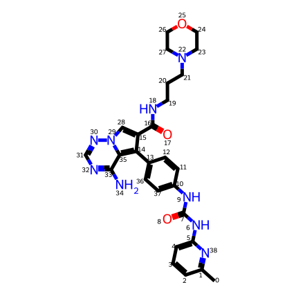 Cc1cccc(NC(=O)Nc2ccc(-c3c(C(=O)NCCCN4CCOCC4)cn4ncnc(N)c34)cc2)n1